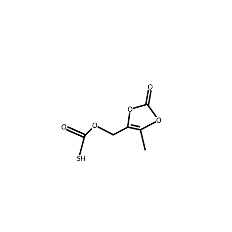 Cc1oc(=O)oc1COC(=O)S